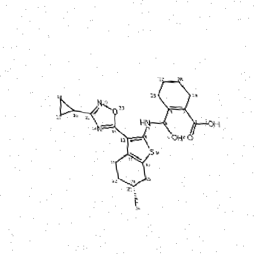 O=C(O)C1=C(C(O)Nc2sc3c(c2-c2nc(C4CC4)no2)CC[C@@H](F)C3)CCCC1